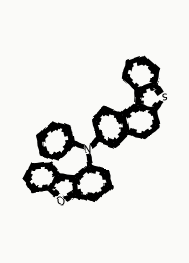 c1ccc(N(c2ccc3c(ccc4sc5ccccc5c43)c2)c2cccc3oc4ccccc4c23)cc1